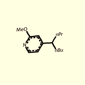 CCCCC(CCC)c1ccnc(OC)c1